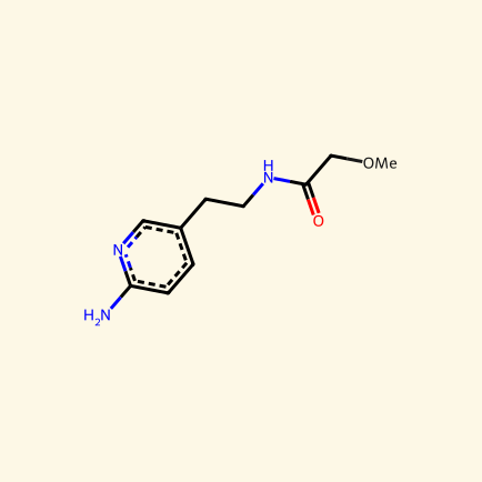 COCC(=O)NCCc1ccc(N)nc1